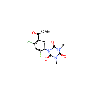 CCn1c(=O)n(C)c(=O)n(-c2cc(C(=O)OC)c(Cl)cc2F)c1=O